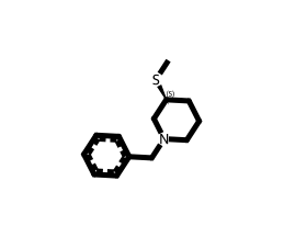 CS[C@H]1CCCN(Cc2ccccc2)C1